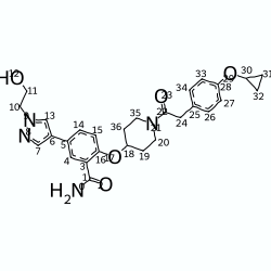 NC(=O)c1cc(-c2cnn(CCO)c2)ccc1OC1CCN(C(=O)Cc2ccc(OC3CC3)cc2)CC1